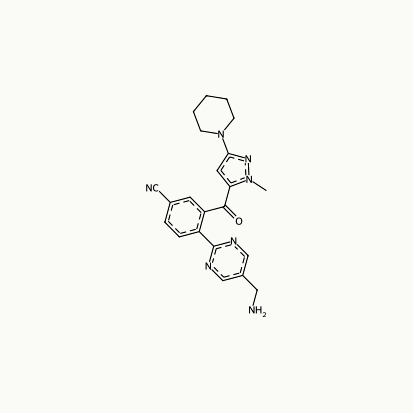 Cn1nc(N2CCCCC2)cc1C(=O)c1cc(C#N)ccc1-c1ncc(CN)cn1